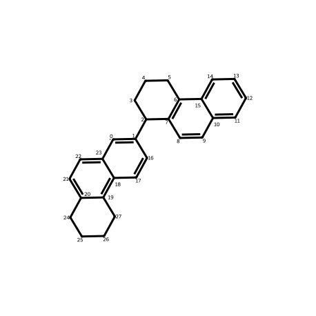 [c]1c(C2CCCc3c2ccc2ccccc32)ccc2c3c(ccc12)CCCC3